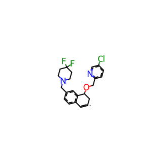 FC1(F)CCN(Cc2ccc3c(c2)C(OCc2ccc(Cl)cn2)C[C]=C3)CC1